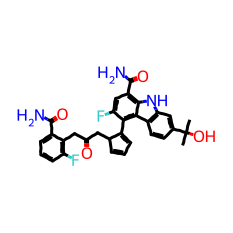 CC(C)(O)c1ccc2c(c1)[nH]c1c(C(N)=O)cc(F)c(C3=CC=CC3CC(=O)Cc3c(F)cccc3C(N)=O)c12